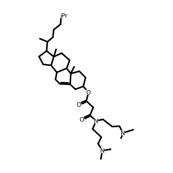 CC(C)CCCC(C)C1CCC2C3CC=C4CC(OC(=O)CC(=O)N(CCCN(C)C)CCCN(C)C)CCC4(C)C3CCC12C